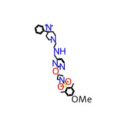 COc1cc(C)c(S(=O)(=O)N2CC(Oc3nccc(CNCCN4CCC(c5ccccc5)(N(C)C)CC4)n3)C2)c(C)c1